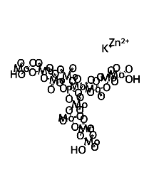 O=P([O][Mo](=[O])(=[O])[O][Mo](=[O])(=[O])[O][Mo](=[O])(=[O])[O][Mo](=[O])(=[O])[OH])([O][Mo](=[O])(=[O])[O][Mo](=[O])(=[O])[O][Mo](=[O])(=[O])[O][Mo](=[O])(=[O])[OH])[O][Mo](=[O])(=[O])[O][Mo](=[O])(=[O])[O][Mo](=[O])(=[O])[O][Mo](=[O])(=[O])[OH].[K+].[Zn+2]